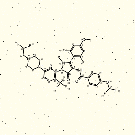 COc1cc(F)c(-c2c(NC(=O)c3ccc(OC(F)F)cc3)c(=O)n(-c3nc(N4CCN(CC(F)F)CC4)ccc3C(F)(F)F)n2C)c(F)c1